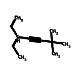 CC[SiH](C#CC(C)(C)C)CC